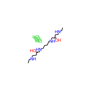 CCNCC[C@H](O)CNCCCCNC[C@@H](O)CCNCC.Cl.Cl.Cl.Cl